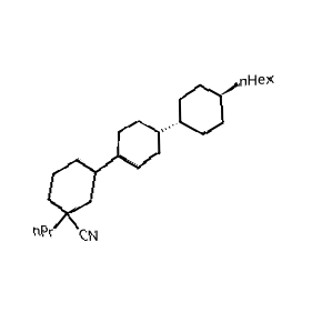 CCCCCC[C@H]1CC[C@H](C2CCC(C3CCCC(C#N)(CCC)C3)CC2)CC1